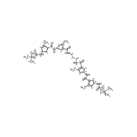 Cn1cc(NC(=O)c2cc(NC(=O)OC(C)(C)C)cn2C)cc1C(=O)NCCCNC(=O)c1cc(NC(=O)c2cc(NC(=O)OC(C)(C)C)cn2C)cn1C